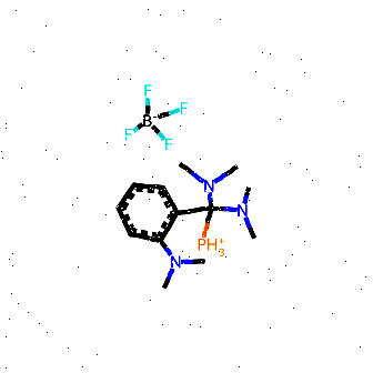 CN(C)c1ccccc1C([PH3+])(N(C)C)N(C)C.F[B-](F)(F)F